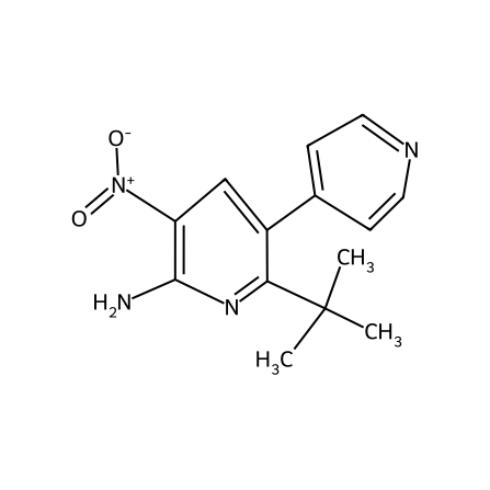 CC(C)(C)c1nc(N)c([N+](=O)[O-])cc1-c1ccncc1